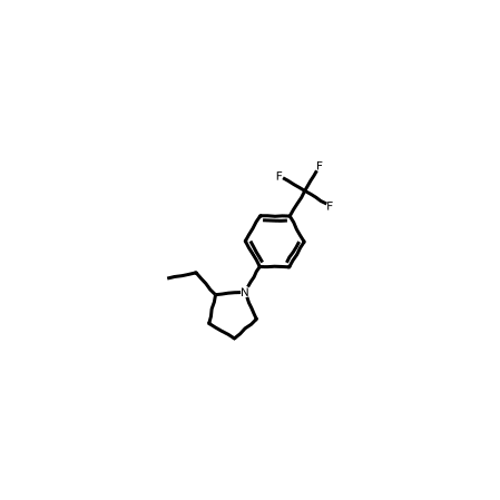 CCC1CCCN1c1ccc(C(F)(F)F)cc1